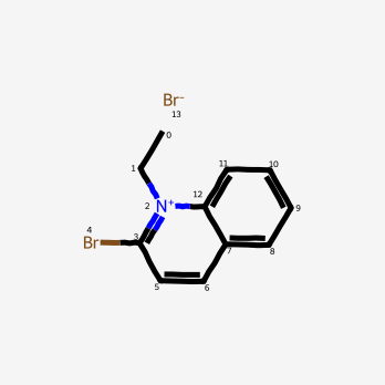 CC[n+]1c(Br)ccc2ccccc21.[Br-]